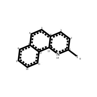 Ic1ccc2ccc3ccccc3c2n1